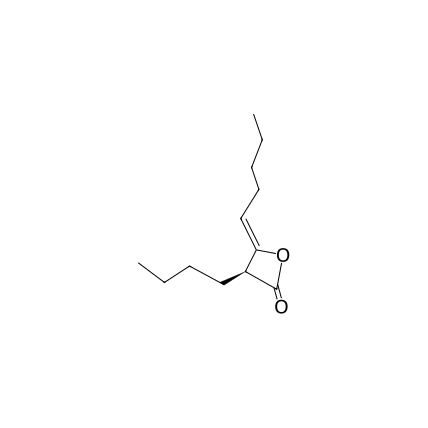 CCCC/C=C1\OC(=O)[C@H]1CCCC